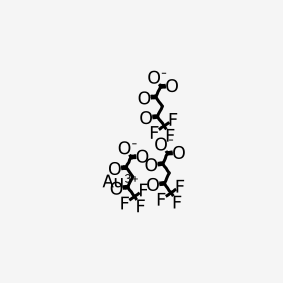 O=C([O-])C(=O)CC(=O)C(F)(F)F.O=C([O-])C(=O)CC(=O)C(F)(F)F.O=C([O-])C(=O)CC(=O)C(F)(F)F.[Au+3]